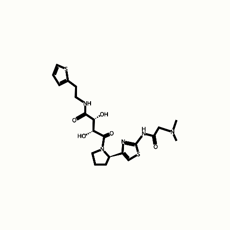 CN(C)CC(=O)Nc1nc([C@H]2CCCN2C(=O)[C@H](O)[C@@H](O)C(=O)NCCc2cccs2)cs1